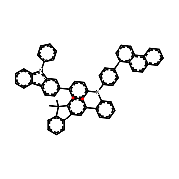 CC1(C)c2ccccc2-c2cc(-c3ccccc3N(c3ccc(-c4ccc5c6ccccc6n(-c6ccccc6)c5c4)cc3)c3ccc(-c4cccc5c4ccc4ccccc45)cc3)ccc21